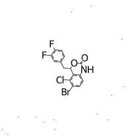 O=C1Nc2ccc(Br)c(Cl)c2C(Cc2ccc(F)c(F)c2)O1